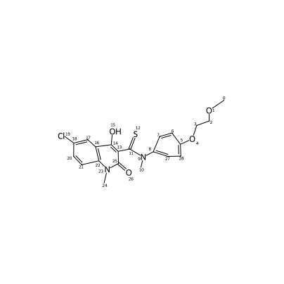 COCCOc1ccc(N(C)C(=S)c2c(O)c3cc(Cl)ccc3n(C)c2=O)cc1